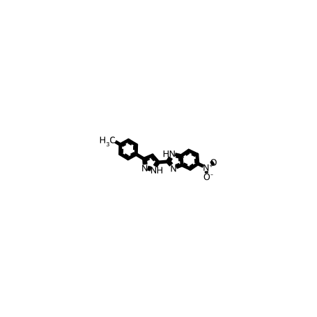 Cc1ccc(-c2cc(-c3nc4cc([N+](=O)[O-])ccc4[nH]3)[nH]n2)cc1